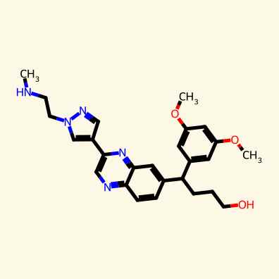 CNCCn1cc(-c2cnc3ccc(C(CCCO)c4cc(OC)cc(OC)c4)cc3n2)cn1